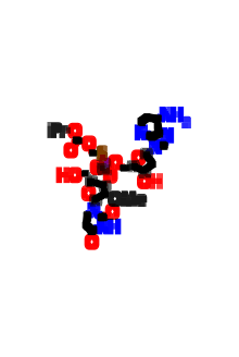 COC1[C@@H](O[P@](=O)(OC[C@H]2O[C@@H](n3cnc4c(N)ccnc43)C[C@H]2O)SCOC(=O)OC(C)C)[C@@H](CO)O[C@H]1n1ccc(=O)[nH]c1=O